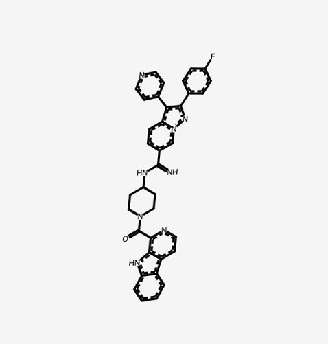 N=C(NC1CCN(C(=O)c2nccc3c2[nH]c2ccccc23)CC1)c1ccc2c(-c3ccncc3)c(-c3ccc(F)cc3)nn2c1